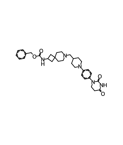 O=C1CCN(c2ccc(N3CCC(CN4CCC5(CC4)CC(NC(=O)OCc4ccccc4)C5)CC3)cc2)C(=O)N1